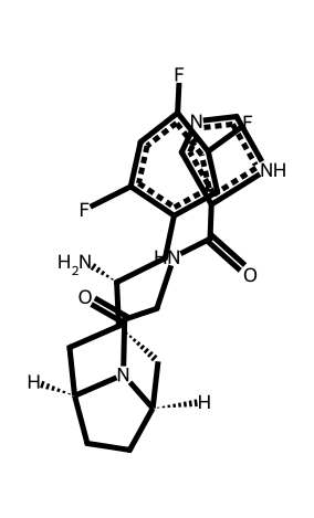 N[C@H](Cc1cc(F)c(F)cc1F)[C@@H]1C[C@H]2CC[C@@H](C1)N2C(=O)CNC(=O)c1cnc[nH]1